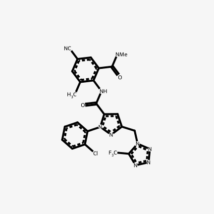 CNC(=O)c1cc(C#N)cc(C)c1NC(=O)c1cc(Cn2nnnc2C(F)(F)F)nn1-c1ccccc1Cl